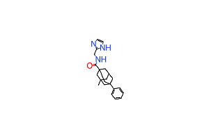 CC12CC3CC(C(=O)NCc4ncc[nH]4)(C1)CC(c1ccccc1)(C3)C2